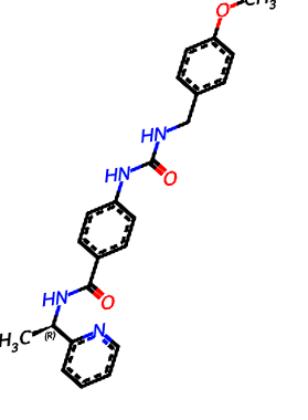 COc1ccc(CNC(=O)Nc2ccc(C(=O)N[C@H](C)c3ccccn3)cc2)cc1